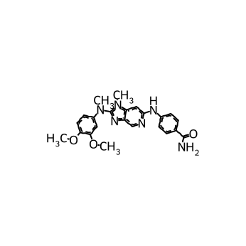 COc1ccc(N(C)c2nc3cnc(Nc4ccc(C(N)=O)cc4)cc3n2C)cc1OC